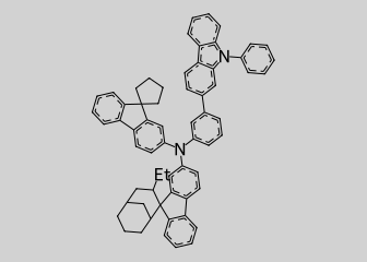 CCC1CC2CCCC(C2)C12c1ccccc1-c1ccc(N(c3cccc(-c4ccc5c6ccccc6n(-c6ccccc6)c5c4)c3)c3ccc4c(c3)C3(CCCC3)c3ccccc3-4)cc12